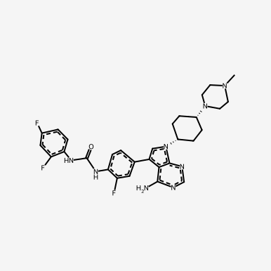 CN1CCN([C@H]2CC[C@@H](n3cc(-c4ccc(NC(=O)Nc5ccc(F)cc5F)c(F)c4)c4c(N)ncnc43)CC2)CC1